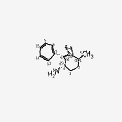 C[C@H]1CC[C@H](N)[C@H](c2ccccc2)N1